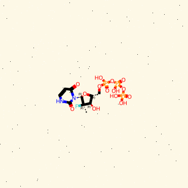 C[C@@]1(F)[C@H](O)[C@@H](COP(=O)(O)OP(=O)(O)OP(=O)(O)O)O[C@H]1n1c(=O)cc[nH]c1=O